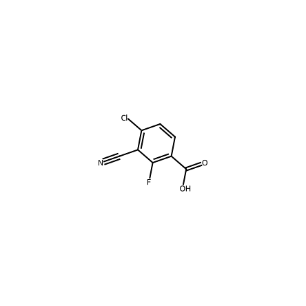 N#Cc1c(Cl)ccc(C(=O)O)c1F